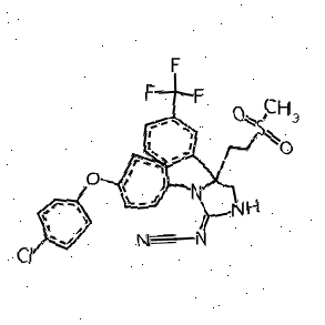 CS(=O)(=O)CCC1(c2cccc(C(F)(F)F)c2)CNC(=NC#N)N1c1ccc(Oc2ccc(Cl)cc2)cc1